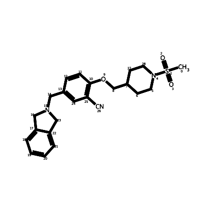 CS(=O)(=O)N1CCC(COc2ccc(CN3Cc4ccccc4C3)cc2C#N)CC1